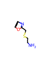 NCCSCc1ncco1